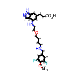 O=C(O)CCc1cc(NCCOCCCCNCc2cc(F)c(OC(F)(F)F)c(F)c2)c2cn[nH]c2c1